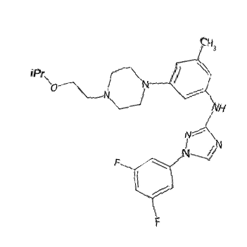 Cc1cc(Nc2ncn(-c3cc(F)cc(F)c3)n2)cc(N2CCN(CCOC(C)C)CC2)c1